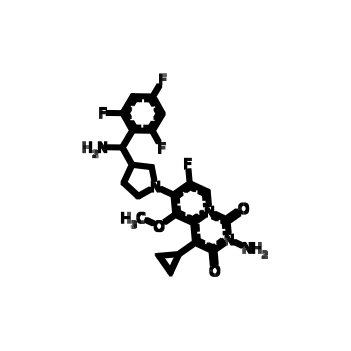 COc1c(N2CCC(C(N)c3c(F)cc(F)cc3F)C2)c(F)cn2c(=O)n(N)c(=O)c(C3CC3)c12